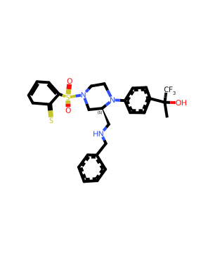 CC(O)(c1ccc(N2CCN(S(=O)(=O)C3=CC=CCC3=S)C[C@@H]2CNCc2ccccc2)cc1)C(F)(F)F